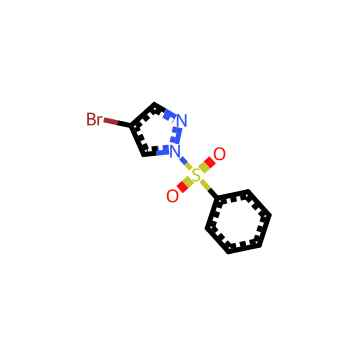 O=S(=O)(c1ccccc1)n1cc(Br)cn1